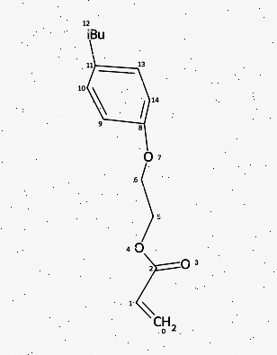 C=CC(=O)OCCOc1ccc(C(C)CC)cc1